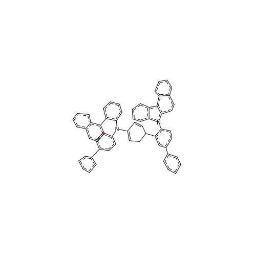 C1=CC(c2cc(-c3ccccc3)ccc2-n2c3ccccc3c3c4ccccc4ccc32)CC=C1N(c1ccc(-c2ccccc2)cc1)c1ccccc1-c1cccc2ccccc12